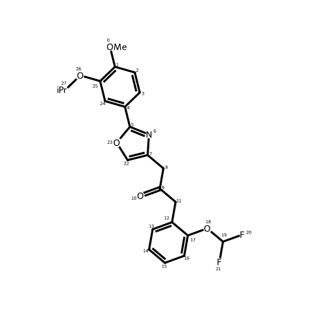 COc1ccc(-c2nc(CC(=O)Cc3ccccc3OC(F)F)co2)cc1OC(C)C